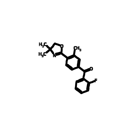 Cc1cc(C(=O)c2ccccc2F)ccc1C1=NC(C)(C)CO1